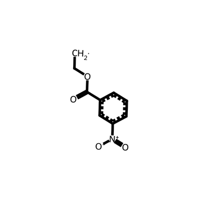 [CH2]COC(=O)c1cccc([N+](=O)[O-])c1